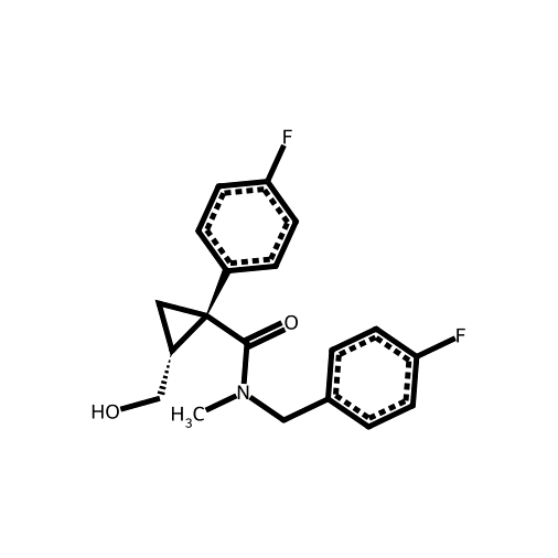 CN(Cc1ccc(F)cc1)C(=O)[C@@]1(c2ccc(F)cc2)C[C@H]1CO